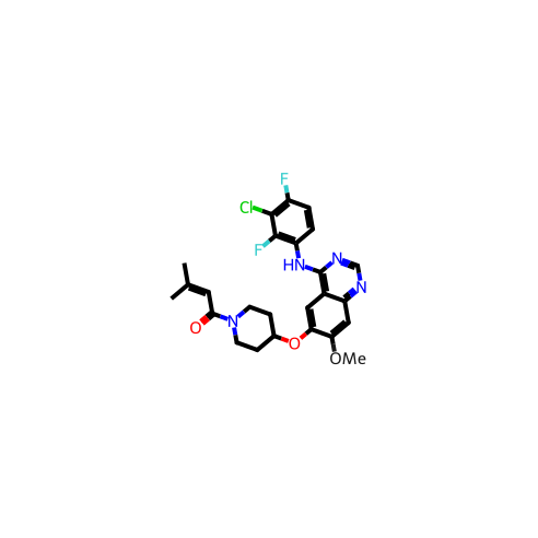 COc1cc2ncnc(Nc3ccc(F)c(Cl)c3F)c2cc1OC1CCN(C(=O)C=C(C)C)CC1